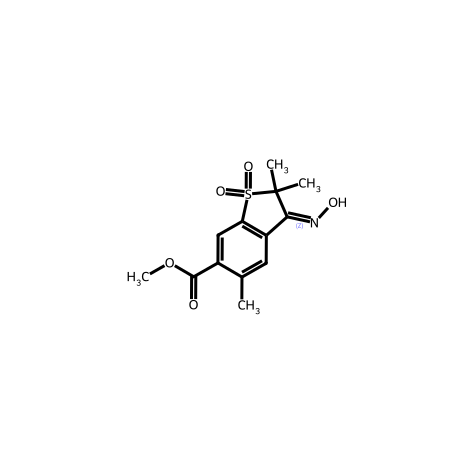 COC(=O)c1cc2c(cc1C)/C(=N/O)C(C)(C)S2(=O)=O